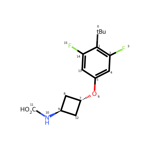 CC(C)(C)c1c(F)cc(O[C@H]2C[C@H](NC(=O)O)C2)cc1F